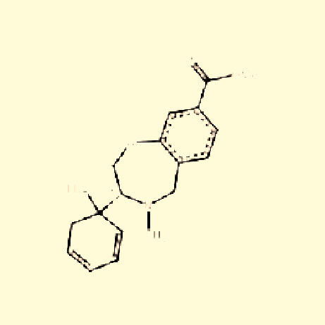 COC(=O)c1ccc2c(c1)OC[C@H](C1(C)C=CC=CC1)N(C)C2